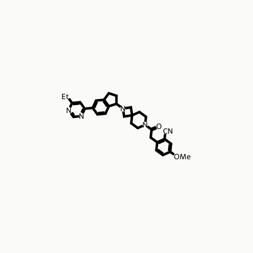 CCc1cc(-c2ccc3c(c2)CCC3N2CC3(CCN(C(=O)Cc4ccc(OC)cc4C#N)CC3)C2)ncn1